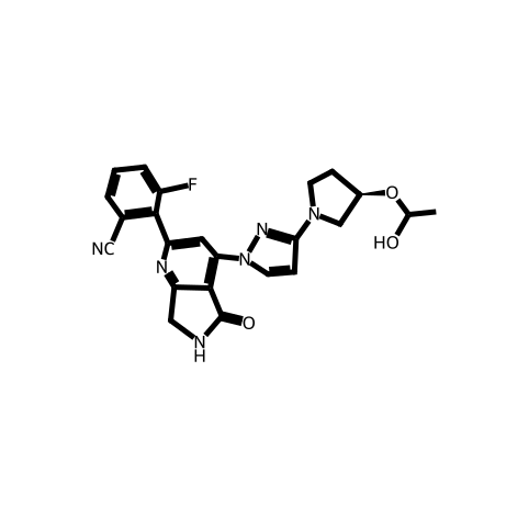 CC(O)O[C@@H]1CCN(c2ccn(-c3cc(-c4c(F)cccc4C#N)nc4c3C(=O)NC4)n2)C1